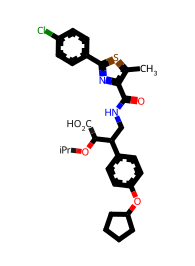 Cc1sc(-c2ccc(Cl)cc2)nc1C(=O)NCC(c1ccc(OC2CCCC2)cc1)C(OC(C)C)C(=O)O